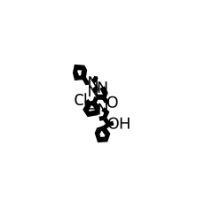 CC(CNC(=O)c1cnc(N(C)Cc2ccccc2)nc1-c1ccccc1Cl)C(O)c1ccccc1